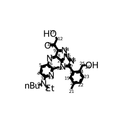 CCCCN(CC)c1ccc(/N=C2/C(C(=O)CO)=Nn3nc(-c4cc(C)ccc4CO)nc32)c(C)n1